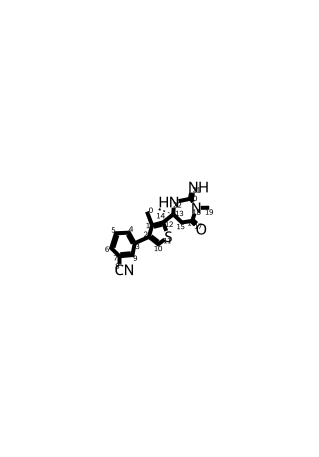 Cc1c(-c2cccc(C#N)c2)csc1[C@]1(C)CC(=O)N(C)C(=N)N1